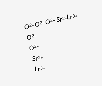 [Lr+3].[Lr+3].[O-2].[O-2].[O-2].[O-2].[O-2].[Sr+2].[Sr+2]